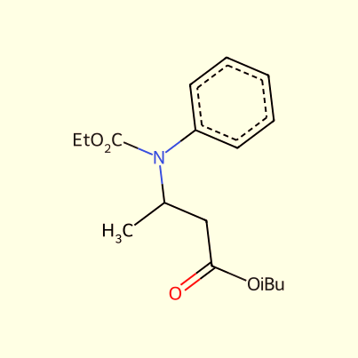 CCOC(=O)N(c1ccccc1)C(C)CC(=O)OCC(C)C